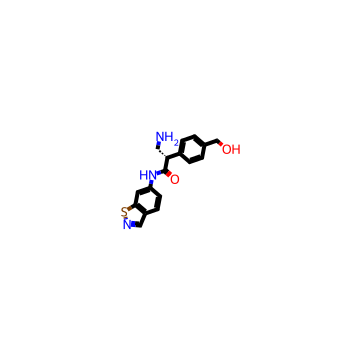 NC[C@@H](C(=O)Nc1ccc2cnsc2c1)c1ccc(CO)cc1